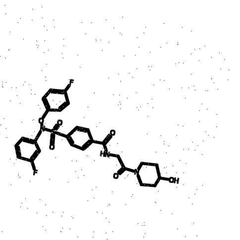 O=C(NCC(=O)N1CCC(O)CC1)c1ccc(S(=O)(=O)N(Oc2ccc(F)cc2)c2cccc(F)c2)cc1